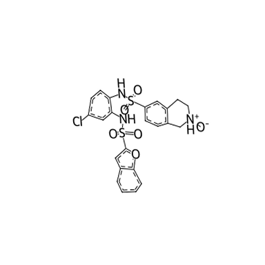 O=S(=O)(Nc1ccc(Cl)cc1NS(=O)(=O)c1cc2ccccc2o1)c1ccc2c(c1)CC[NH+]([O-])C2